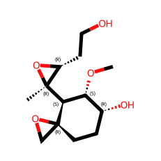 CO[C@@H]1[C@H](O)CC[C@]2(CO2)[C@H]1[C@@]1(C)O[C@@H]1CCO